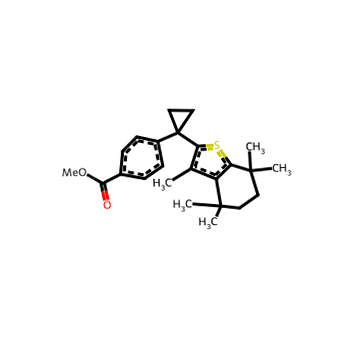 COC(=O)c1ccc(C2(c3sc4c(c3C)C(C)(C)CCC4(C)C)CC2)cc1